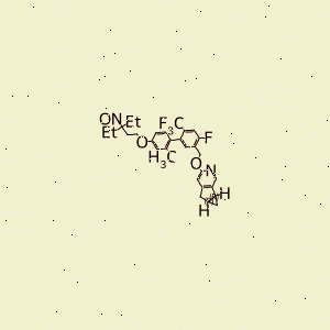 CCC(CC)(CCOc1ccc(-c2cc(COc3cc4c(cn3)[C@@H]3C[C@@H]3C4)c(F)cc2C(F)(F)F)c(C)c1)N=O